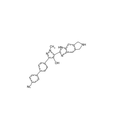 Cn1nc(-c2ccc(-c3ccc(C#N)cc3)cc2)c(O)c1-c1nc2cc3c(cc2[nH]1)CNC3